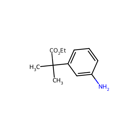 CCOC(=O)C(C)(C)c1cccc(N)c1